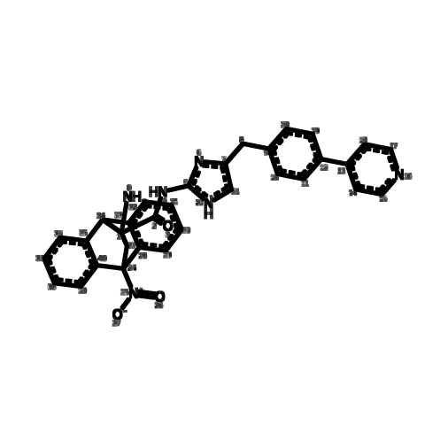 NC1(C(=O)Nc2nc(Cc3ccc(-c4ccncc4)cc3)c[nH]2)CC2([N+](=O)[O-])c3ccccc3C1c1ccccc12